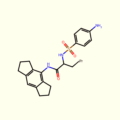 CC(C)CC(NS(=O)(=O)c1ccc(N)cc1)C(=O)Nc1c2c(cc3c1CCC3)CCC2